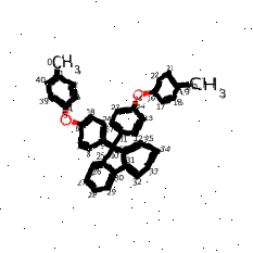 Cc1ccc(Oc2ccc(C3(c4ccc(Oc5ccc(C)cc5)cc4)c4ccccc4-c4ccccc43)cc2)cc1